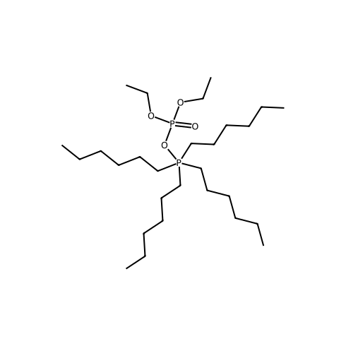 CCCCCCP(CCCCCC)(CCCCCC)(CCCCCC)OP(=O)(OCC)OCC